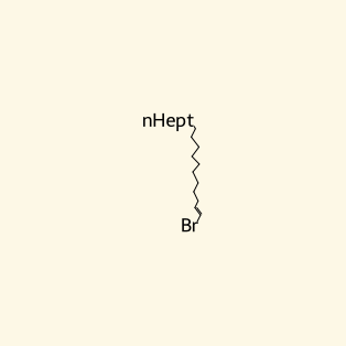 CCCCCCCCCCCCCCCCC=CBr